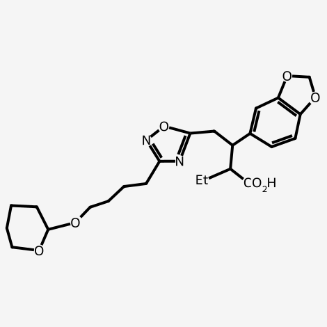 CCC(C(=O)O)C(Cc1nc(CCCCOC2CCCCO2)no1)c1ccc2c(c1)OCO2